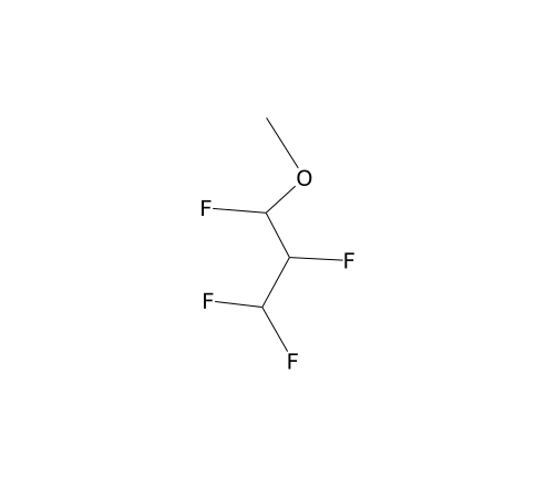 COC(F)C(F)C(F)F